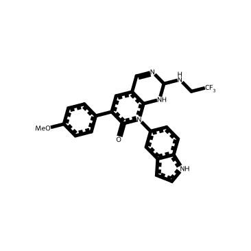 COc1ccc(-c2cc3c(n(-c4ccc5[nH]ccc5c4)c2=O)NC(NCC(F)(F)F)N=C3)cc1